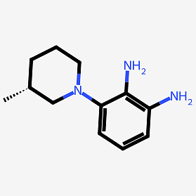 C[C@@H]1CCCN(c2cccc(N)c2N)C1